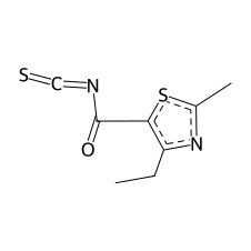 CCc1nc(C)sc1C(=O)N=C=S